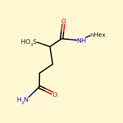 CCCCCCNC(=O)C(CCC(N)=O)S(=O)(=O)O